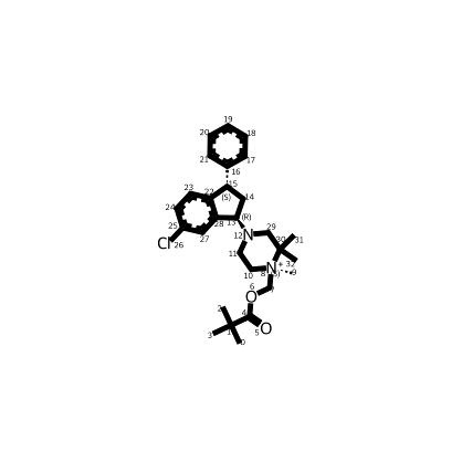 CC(C)(C)C(=O)OC[N@@+]1(C)CCN([C@@H]2C[C@@H](c3ccccc3)c3ccc(Cl)cc32)CC1(C)C